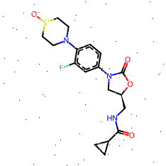 O=C(NC[C@H]1CN(c2ccc(N3CC[S+]([O-])CC3)c(F)c2)C(=O)O1)C1CC1